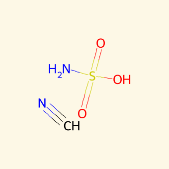 C#N.NS(=O)(=O)O